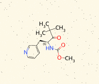 COC(=O)N[C@@H](Cc1cccnc1)C(=O)C(C)(C)C